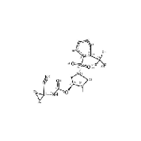 N#CC1(NC(=O)O[C@H]2C[C@H](S(=O)(=O)c3ccccc3C(F)(F)F)CN2)CC1